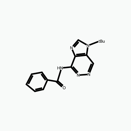 CC(C)(C)n1cnc2c(NC(=O)c3ccccc3)nncc21